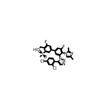 Cc1cn(-c2c(F)cc(-c3cc(F)c(CO)c(S(C)(=O)=O)c3)cc2-n2nncc2-c2ccc(Cl)cc2Cl)c(C)n1